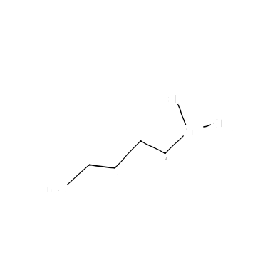 CCCCCCCC[SiH](C)Cl